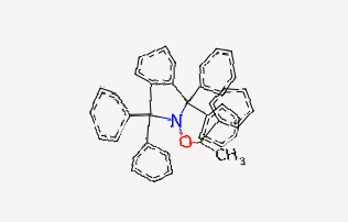 CC(ON1C(c2ccccc2)(c2ccccc2)c2ccccc2C1(c1ccccc1)c1ccccc1)c1ccccc1